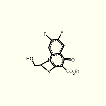 CCOC(=O)c1c2n(c3cc(F)c(F)cc3c1=O)C(CO)S2